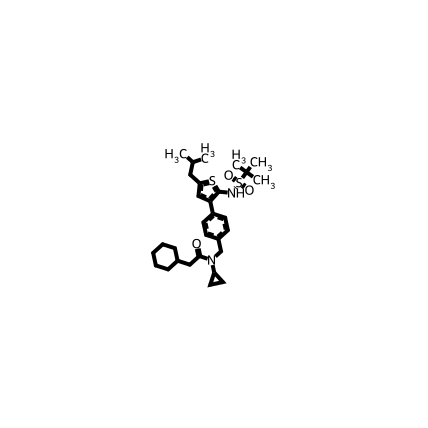 CC(C)Cc1cc(-c2ccc(CN(C(=O)CC3CCCCC3)C3CC3)cc2)c(NS(=O)(=O)C(C)(C)C)s1